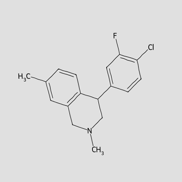 Cc1ccc2c(c1)CN(C)CC2c1ccc(Cl)c(F)c1